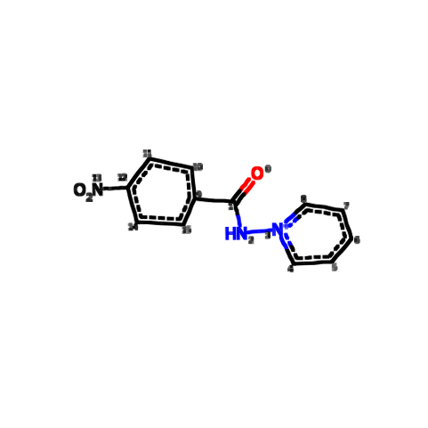 O=C(N[n+]1ccccc1)c1ccc([N+](=O)[O-])cc1